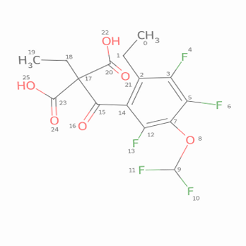 CCc1c(F)c(F)c(OC(F)F)c(F)c1C(=O)C(CC)(C(=O)O)C(=O)O